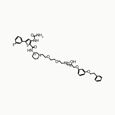 NC(=O)Nc1cc(-c2cccc(F)c2)sc1C(=O)N[C@H]1CCCN(CCOCCOCCNC[C@@H](O)COc2cccc(OCCc3ccccc3)c2)C1